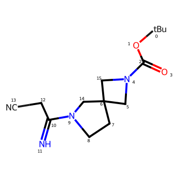 CC(C)(C)OC(=O)N1CC2(CCN(C(=N)CC#N)C2)C1